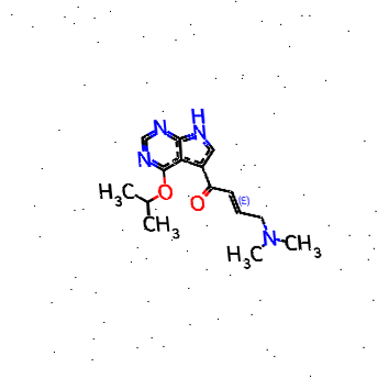 CC(C)Oc1ncnc2[nH]cc(C(=O)/C=C/CN(C)C)c12